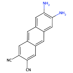 N#Cc1cc2cc3cc(N)c(N)cc3cc2cc1C#N